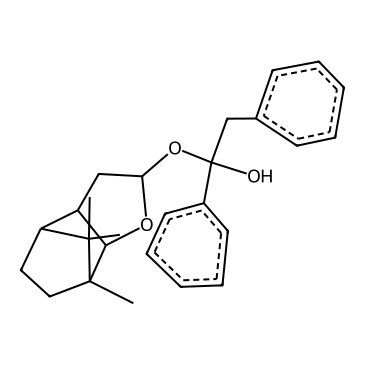 CC1(C)C2CCC1(C)C1OC(OC(O)(Cc3ccccc3)c3ccccc3)CC21